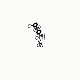 O=C(NCc1cnco1)Nc1ccc(S(=O)(=O)c2cccc(Cl)c2)cc1